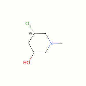 CN1CC(O)C[C@H](Cl)C1